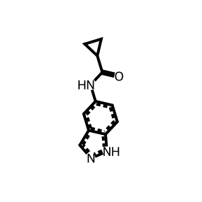 O=C(Nc1ccc2[nH]ncc2c1)C1CC1